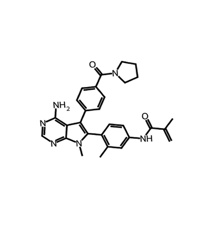 C=C(C)C(=O)Nc1ccc(-c2c(-c3ccc(C(=O)N4CCCC4)cc3)c3c(N)ncnc3n2C)c(C)c1